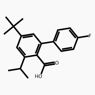 CC(C)c1cc(C(C)(C)C)cc(-c2ccc(F)cc2)c1C(=O)O